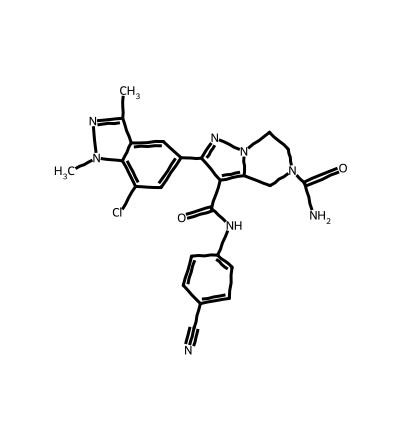 Cc1nn(C)c2c(Cl)cc(-c3nn4c(c3C(=O)Nc3ccc(C#N)cc3)CN(C(N)=O)CC4)cc12